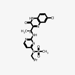 CC(C)CN(c1ccnc(N[C@@H](C)c2nc3cc(Cl)ccc3[nH]c2=O)n1)S(C)(=O)=O